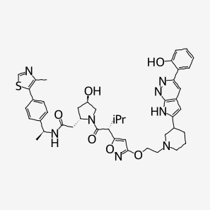 Cc1ncsc1-c1ccc([C@H](C)NC(=O)C[C@@H]2C[C@@H](O)CN2C(=O)[C@@H](c2cc(OCCN3CCCC(c4cc5cc(-c6ccccc6O)nnc5[nH]4)C3)no2)C(C)C)cc1